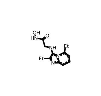 CCc1nc2cccc(CC)n2c1NCC(=O)NO